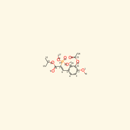 COc1ccc(/C=C(/C(=O)OC(C)C)P(=O)(OC)OC)cc1OC(C)=O